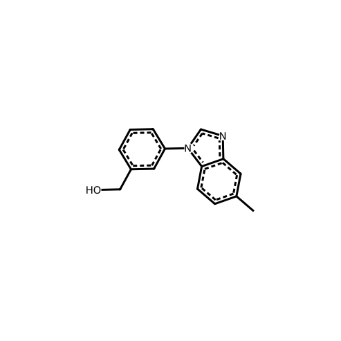 Cc1ccc2c(c1)ncn2-c1cccc(CO)c1